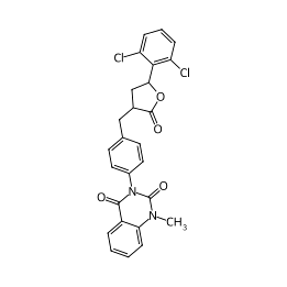 Cn1c(=O)n(-c2ccc(CC3CC(c4c(Cl)cccc4Cl)OC3=O)cc2)c(=O)c2ccccc21